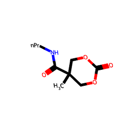 CCCNC(=O)C1(C)COC(=O)OC1